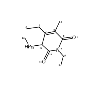 CCC1=C(C)C(=O)N(CC)C(=O)C1PC